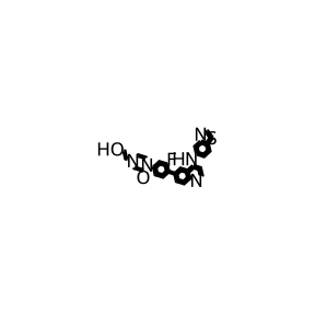 O=C1CN(CCO)CCN1c1ccc(-c2ccc3nccc(Nc4ccc5scnc5c4)c3c2)c(F)c1